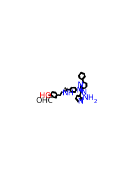 C[C@H](NCCc1ccc(O)c(C=O)c1)c1ccc(-n2c(-c3cccnc3N)nc3ccc(-c4ccccc4)nc32)cc1